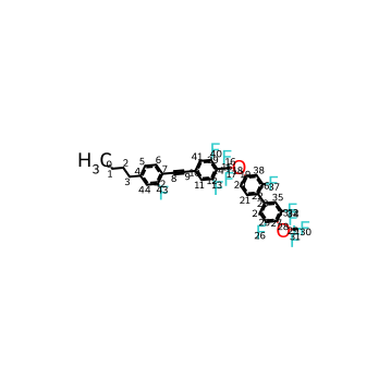 CCCCc1ccc(C#Cc2cc(F)c(C(F)(F)Oc3ccc(-c4cc(F)c(OC(F)(F)F)c(F)c4)c(F)c3)c(F)c2)c(F)c1